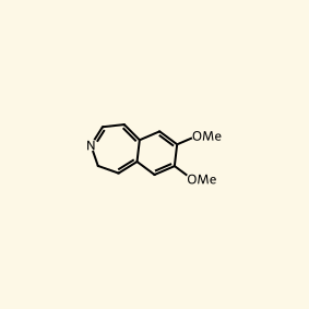 COc1cc2c(cc1OC)=CCN=CC=2